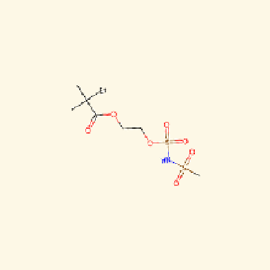 CCC(C)(C)C(=O)OCCOS(=O)(=O)NS(C)(=O)=O